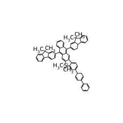 CC1(C)C2=CC(c3c4ccccc4c(-c4ccc5c(c4)C(C)(C)c4ccccc4-5)c4cc5c(cc34)-c3ccc(C4C=CC(c6ccccc6)=CC4)cc3[Si]5(C)C)=CCC2c2ccccc21